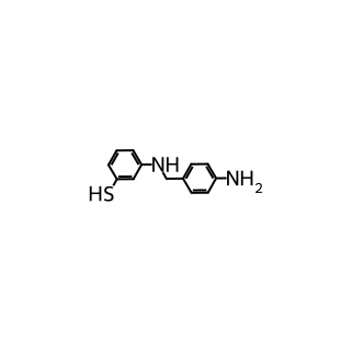 Nc1ccc(CNc2cccc(S)c2)cc1